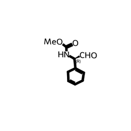 COC(=O)N[C@@H](C=O)C1=CCC=CC1